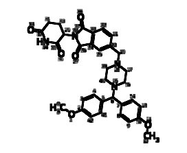 COc1ccc(C(c2ccc(OC)cc2)N2CCN(Cc3ccc4c(c3)C(=O)N(C3CCC(=O)NC3=O)C4=O)CC2)cc1